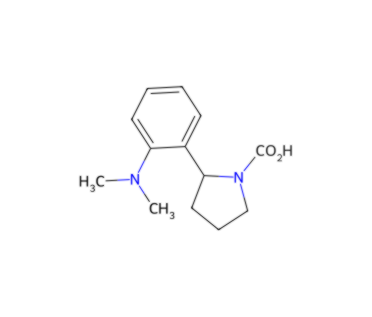 CN(C)c1ccccc1C1CCCN1C(=O)O